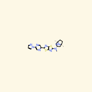 CN(c1nc2sc(-c3cnc(-n4cccn4)cn3)nc2s1)[C@H]1C[C@]2(C)CC[C@](C)(C1)N2